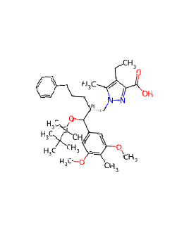 CCc1c(C(=O)O)nn(C[C@@H](CCCc2ccccc2)C(O[Si](C)(C)C(C)(C)C)c2cc(OC)c(C)c(OC)c2)c1C